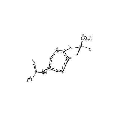 CCC(=O)Nc1ccc(OC(C)(C)C(=O)O)cc1